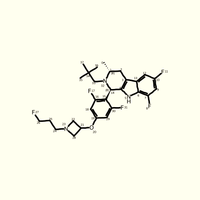 C[C@@H]1Cc2c([nH]c3c(F)cc(F)cc23)[C@@H](c2c(F)cc(OC3CN(CCCF)C3)cc2F)N1CC(C)(C)C